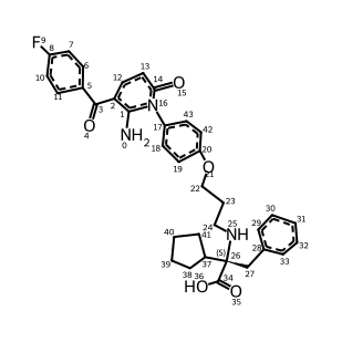 Nc1c(C(=O)c2ccc(F)cc2)ccc(=O)n1-c1ccc(OCCCN[C@](Cc2ccccc2)(C(=O)O)C2CCCC2)cc1